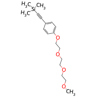 COCCOCCOCCOc1ccc(C#C[Si](C)(C)C)cc1